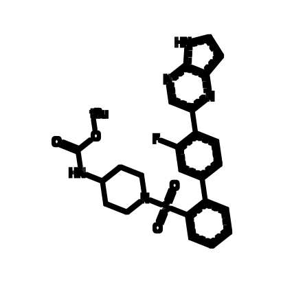 CC(C)(C)OC(=O)NC1CCN(S(=O)(=O)c2ccccc2-c2ccc(-c3cnc4[nH]ccc4n3)c(F)c2)CC1